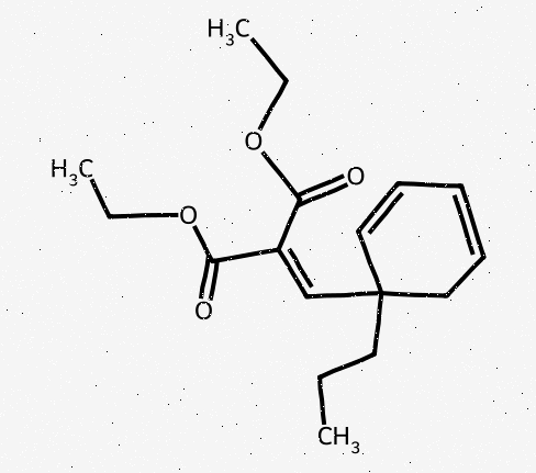 CCCC1(C=C(C(=O)OCC)C(=O)OCC)C=CC=CC1